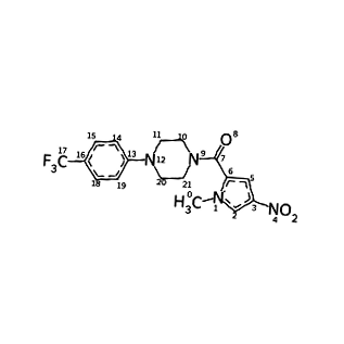 Cn1cc([N+](=O)[O-])cc1C(=O)N1CCN(c2ccc(C(F)(F)F)cc2)CC1